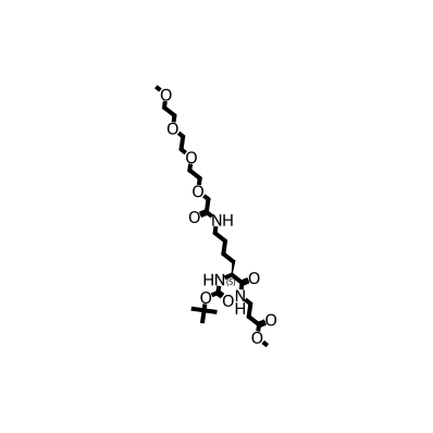 COCCOCCOCCOCC(=O)NCCCC[C@H](NC(=O)OC(C)(C)C)C(=O)NCCC(=O)OC